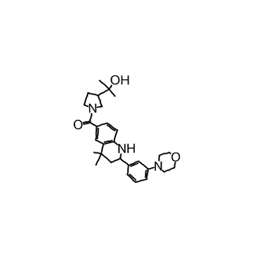 CC1(C)CC(c2cccc(N3CCOCC3)c2)Nc2ccc(C(=O)N3CCC(C(C)(C)O)C3)cc21